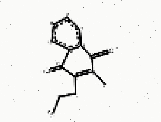 CC(=O)CCC1=C(C)C(=O)c2ccccc2C1=O